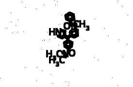 CCN(CC)C(=O)c1ccc(C(=C2CCNCC2)c2cccc(N(C)C(=O)c3ccccc3)c2)cc1